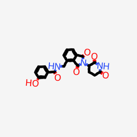 O=C1CCC(N2C(=O)c3cccc(CNC(=O)c4cccc(O)c4)c3C2=O)C(=O)N1